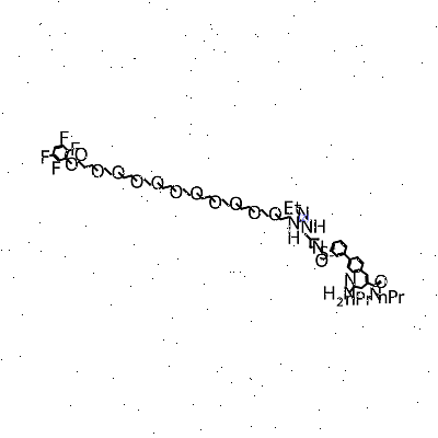 CCCN(CCC)C(=O)C1=Cc2ccc(-c3cccc([S+]([O-])N4CC(CN/C(=N/CC)NCCOCCOCCOCCOCCOCCOCCOCCOCCOCCOCCC(=O)Oc5c(F)c(F)cc(F)c5F)C4)c3)cc2N=C(N)C1